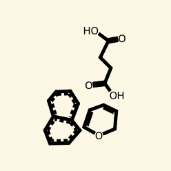 C1=CCOC=C1.O=C(O)CCC(=O)O.c1ccc2ccccc2c1